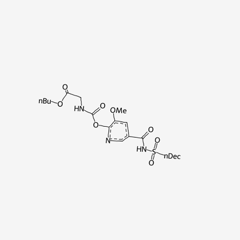 CCCCCCCCCCS(=O)(=O)NC(=O)c1cnc(OC(=O)NCC(=O)OCCCC)c(OC)c1